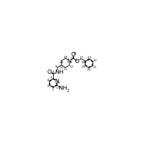 Nc1cccc(C(=O)NCC2CCN(C(=O)OCc3ccccc3)CC2)n1